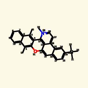 Cc1c2c(c(C)c3ccccc13)-c1c3c(cc4ccc([Si](C)(C)C)cc4c3cc[n+]1C)O2